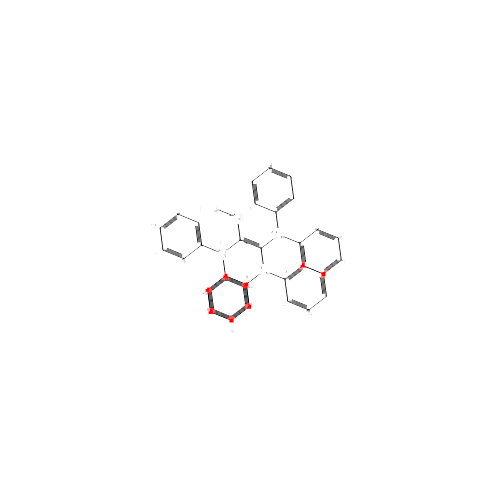 [SiH3]NC(=C(N(c1ccccc1)c1ccccc1)N(c1ccccc1)c1ccccc1)N(c1ccccc1)c1ccccc1